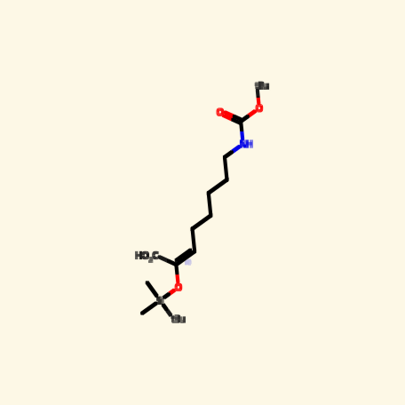 CC(C)(C)OC(=O)NCCCCC/C=C(/O[Si](C)(C)C(C)(C)C)C(=O)O